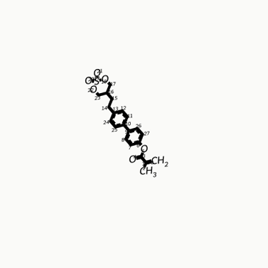 C=C(C)C(=O)Oc1ccc(-c2ccc(CCC3COS(=O)(=O)OC3)cc2)cc1